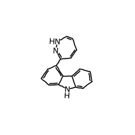 C1=CNN=C(c2cccc3[nH]c4ccccc4c23)C=C1